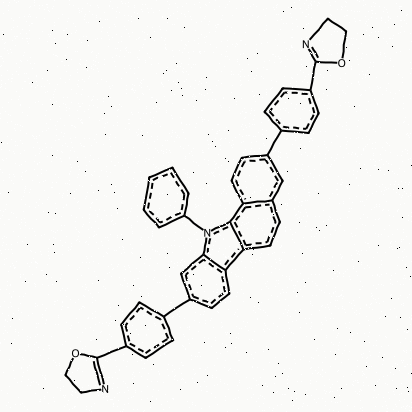 c1ccc(-n2c3cc(-c4ccc(C5=NCCO5)cc4)ccc3c3ccc4cc(-c5ccc(C6=NCCO6)cc5)ccc4c32)cc1